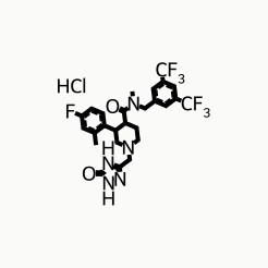 Cc1cc(F)ccc1C1CN(Cc2n[nH]c(=O)[nH]2)CCC1C(=O)N(C)Cc1cc(C(F)(F)F)cc(C(F)(F)F)c1.Cl